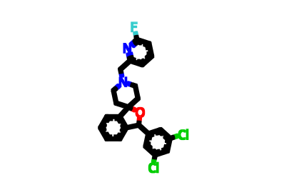 Fc1cccc(CN2CCC3(CC2)OC(c2cc(Cl)cc(Cl)c2)c2ccccc23)n1